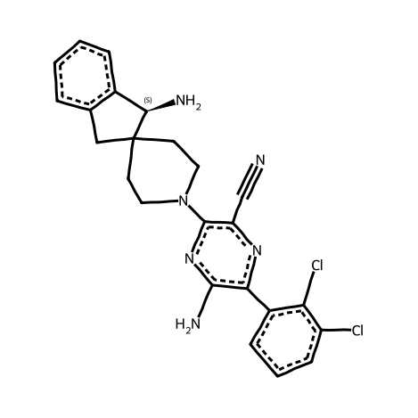 N#Cc1nc(-c2cccc(Cl)c2Cl)c(N)nc1N1CCC2(CC1)Cc1ccccc1[C@H]2N